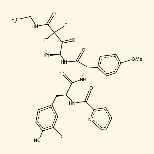 COc1ccc([C@H](NC(=O)[C@H](Cc2ccc(C#N)c(Cl)c2)NC(=O)c2ccccn2)C(=O)N[C@H](C(=O)C(F)(F)C(=O)NCC(F)(F)F)C(C)C)cc1